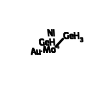 [Au].[GeH3][Mo].[GeH4].[Ni]